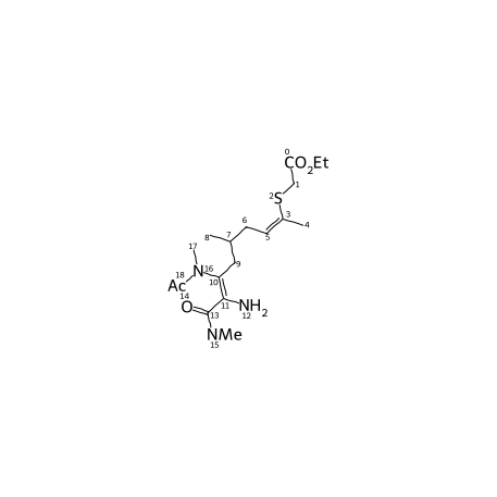 CCOC(=O)CS/C(C)=C\CC(C)C/C(=C(\N)C(=O)NC)N(C)C(C)=O